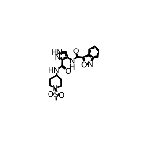 CS(=O)(=O)N1CCC(NC(=O)c2n[nH]cc2NC(=O)c2onc3ccccc23)CC1